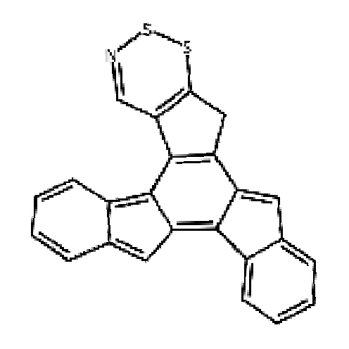 C1=NSSC2=C1c1c(c3c(c4c1=c1ccccc1=C4)-c1ccccc1C=3)C2